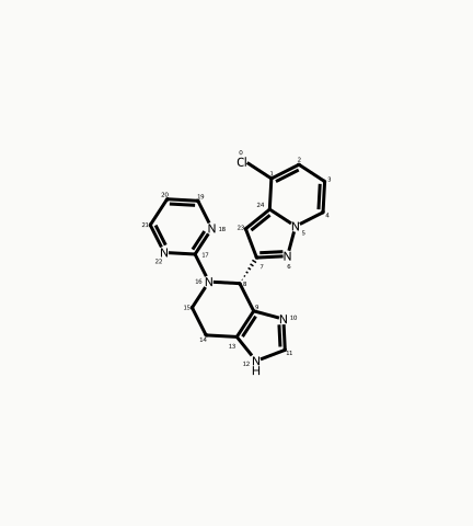 Clc1cccn2nc([C@@H]3c4nc[nH]c4CCN3c3ncccn3)cc12